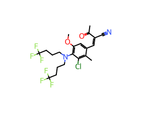 COc1cc(/C=C(/C#N)C(C)=O)c(C)c(Cl)c1N(CCCC(F)(F)F)CCCC(F)(F)F